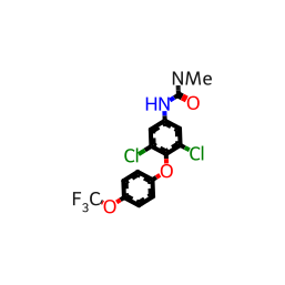 CNC(=O)Nc1cc(Cl)c(Oc2ccc(OC(F)(F)F)cc2)c(Cl)c1